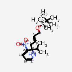 CC(C)C1(CC=CCO[Si](C)(C)C(C)(C)C)NC=CC=C1[N+](=O)[O-]